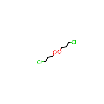 ClCCCOOCCCCl